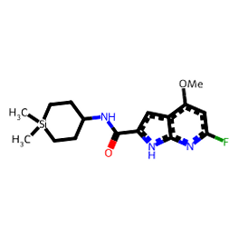 COc1cc(F)nc2[nH]c(C(=O)NC3CC[Si](C)(C)CC3)cc12